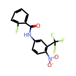 O=C(Nc1ccc([N+](=O)[O-])c(C(F)(F)F)c1)c1ccccc1F